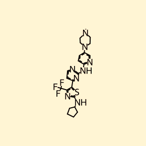 CN1CCN(c2ccc(Nc3nccc(-c4sc(NC5CCCC5)nc4C(F)(F)F)n3)nc2)CC1